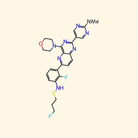 CNc1ncc(-c2nc(N3CCOCC3)c3nc(-c4cccc(NSCCCF)c4F)ccc3n2)cn1